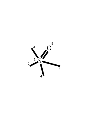 CS(C)(C)(C)=O